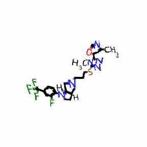 Cc1ncoc1-c1nnc(SCCCN2C[C@H]3CCN(c4ccc(C(F)(F)F)cc4F)[C@H]3C2)n1C